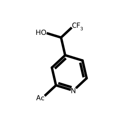 CC(=O)c1cc(C(O)C(F)(F)F)ccn1